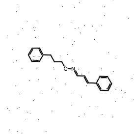 C(=Cc1ccccc1)C=NOCCCc1ccccc1